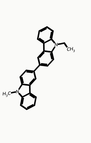 CCn1c2ccccc2c2cc(-c3ccc4c(c3)c3ccccc3n4C)ccc21